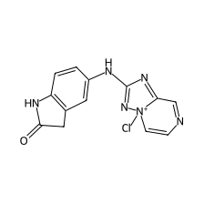 O=C1Cc2cc(NC3=N[N+]4(Cl)C=CN=CC4=N3)ccc2N1